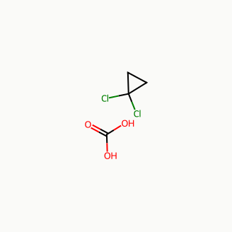 ClC1(Cl)CC1.O=C(O)O